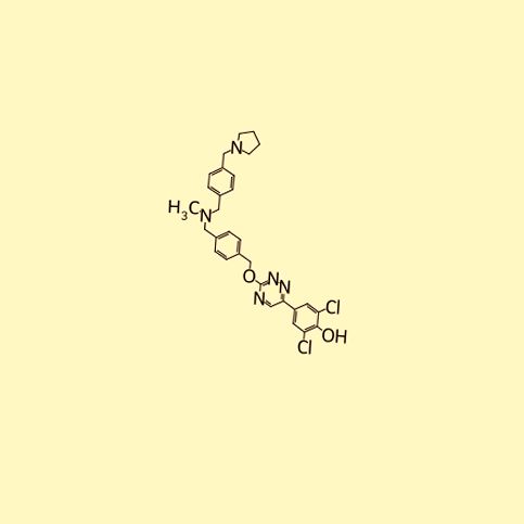 CN(Cc1ccc(COc2ncc(-c3cc(Cl)c(O)c(Cl)c3)nn2)cc1)Cc1ccc(CN2CCCC2)cc1